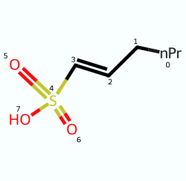 CCCC/C=C/S(=O)(=O)O